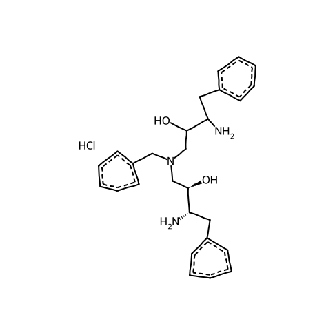 Cl.NC(Cc1ccccc1)C(O)CN(Cc1ccccc1)C[C@@H](O)[C@@H](N)Cc1ccccc1